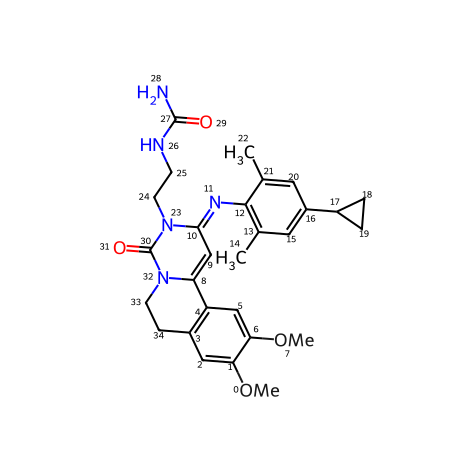 COc1cc2c(cc1OC)-c1c/c(=N\c3c(C)cc(C4CC4)cc3C)n(CCNC(N)=O)c(=O)n1CC2